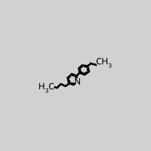 CCCCc1ccc(-c2ccc(CCC)cc2)nc1